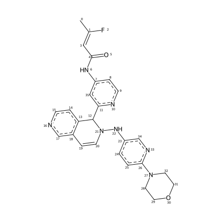 CC(F)=CC(=O)Nc1ccnc(C2c3ccncc3C=CN2Nc2ccc(N3CCOCC3)nc2)c1